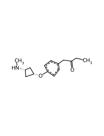 CCC(=O)Cc1ccc(O[C@H]2C[C@@H](NC)C2)cc1